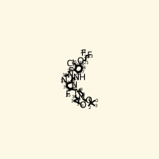 CC(C)(C)OC(=O)N1CCN(c2nc3c(Nc4ccc(OCC(F)F)c(Cl)c4F)ncnc3cc2F)CC12CC2